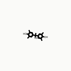 CCCCCCCCCCC(C)(c1cc(C)c(O)c(C)c1)c1cc(C)c(O)c(C)c1